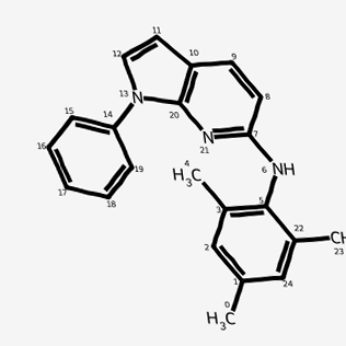 Cc1cc(C)c(Nc2ccc3ccn(-c4ccccc4)c3n2)c(C)c1